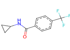 O=C(NC1CC1)c1ccc(C(F)(F)F)cc1